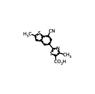 Cc1cc2cc(-c3nc(C)c(C(=O)O)s3)cc(C#N)c2s1